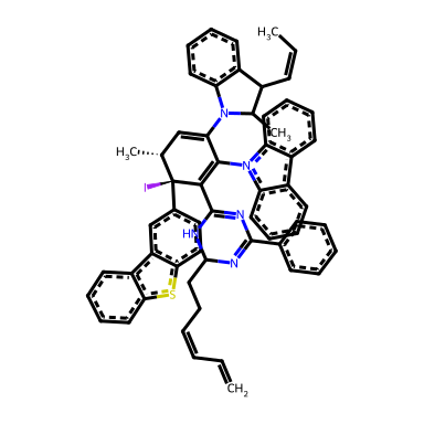 C=C/C=C\CCC1N=C(c2ccccc2)N=C(C2=C(n3c4ccccc4c4ccccc43)C(N3c4ccccc4C(/C=C\C)C3C)=C[C@@H](C)[C@@]2(I)c2ccc3sc4ccccc4c3c2)N1